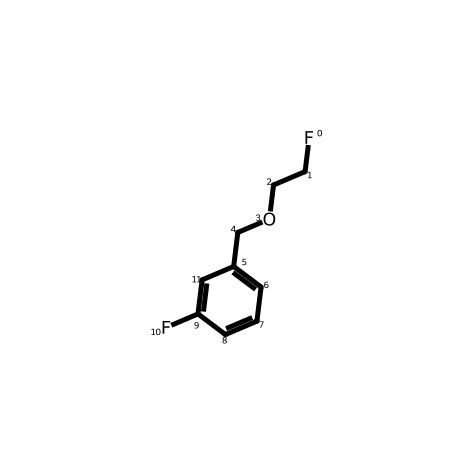 FCCOCc1cccc(F)c1